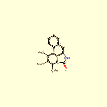 COc1c(OC)c(OC)c2c3c(cc4ccccc42)NC(=O)c13